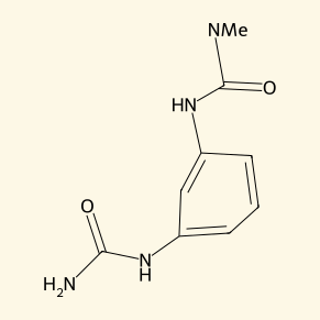 CNC(=O)Nc1cccc(NC(N)=O)c1